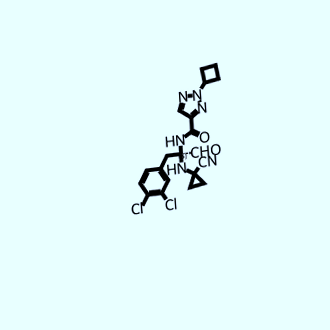 N#CC1(N[C@@](C=O)(Cc2ccc(Cl)c(Cl)c2)NC(=O)c2cnn(C3CCC3)n2)CC1